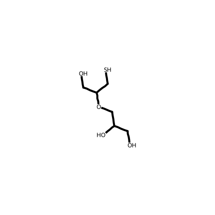 OCC(O)COC(CO)CS